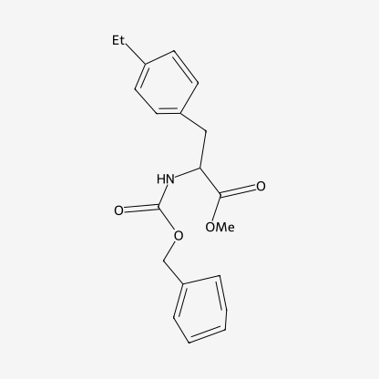 CCc1ccc(CC(NC(=O)OCc2ccccc2)C(=O)OC)cc1